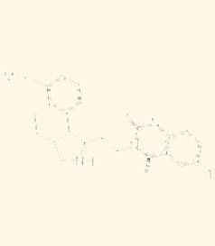 COc1cccc2c1CCC1CNC(CCn3c(=O)[nH]c4ccc(F)cc4c3=O)C21